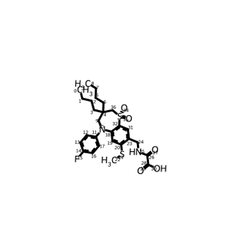 CCCCC1(CCCC)CN(c2ccc(F)cc2)c2cc(SC)c(CNC(=O)C(=O)O)cc2S(=O)(=O)C1